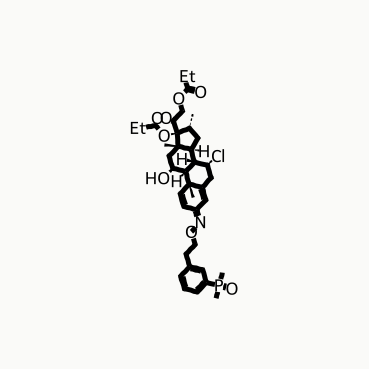 CCC(=O)OCC(=O)[C@@]1(OC(=O)CC)[C@H](C)C[C@H]2[C@H]3[C@H]([C@@H](O)C[C@@]21C)[C@@]1(C)C=C/C(=N\OCCc2cccc(P(C)(C)=O)c2)C=C1C[C@H]3Cl